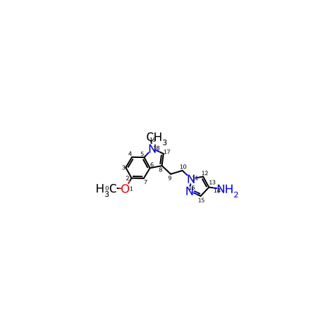 COc1ccc2c(c1)c(CCn1cc(N)cn1)cn2C